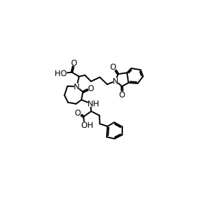 O=C(O)C(CCc1ccccc1)NC1CCCCN(C(CCCCN2C(=O)c3ccccc3C2=O)C(=O)O)C1=O